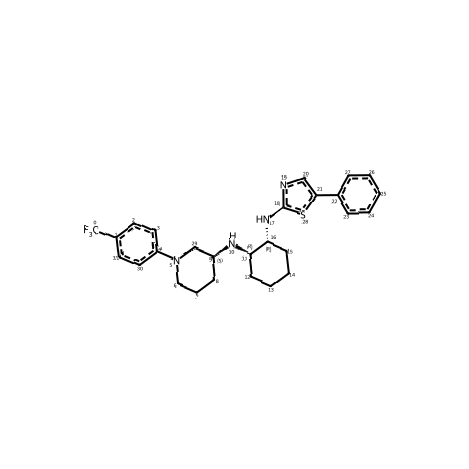 FC(F)(F)c1ccc(N2CCC[C@H](N[C@@H]3CCCC[C@H]3Nc3ncc(-c4ccccc4)s3)C2)cc1